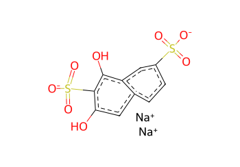 O=S(=O)([O-])c1ccc2cc(O)c(S(=O)(=O)[O-])c(O)c2c1.[Na+].[Na+]